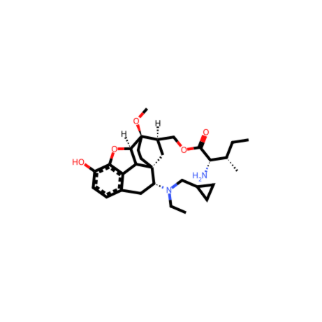 CC[C@H](C)[C@H](N)C(=O)OC[C@H]1C[C@@]23CC[C@]1(OC)[C@@H]1Oc4c(O)ccc(c4C12)C[C@H]3N(CC)CC1CC1